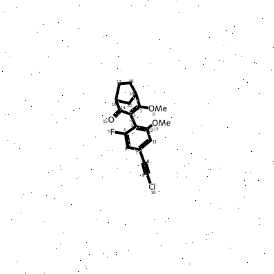 COC1=C(c2c(F)cc(C#CCl)cc2OC)C(=O)C2CCC1C2